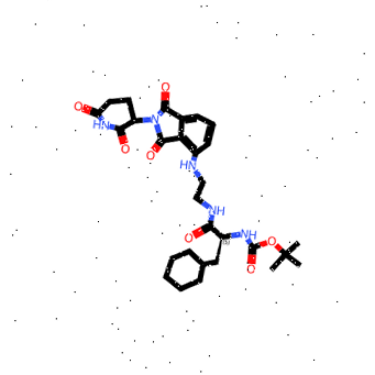 CC(C)(C)OC(=O)N[C@@H](CC1CCCCC1)C(=O)NCCNc1cccc2c1C(=O)N(C1CCC(=O)NC1=O)C2=O